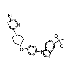 CCc1cnc(N2CCC(Oc3ccc(-n4ccc5cc(S(C)(=O)=O)ccc54)nc3)CC2)cn1